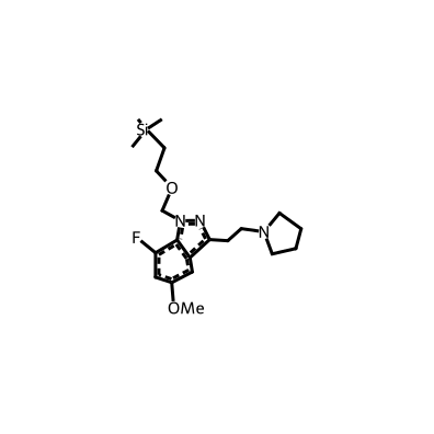 COc1cc(F)c2c(c1)c(CCN1CCCC1)nn2COCC[Si](C)(C)C